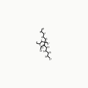 [CH2]C(CCC)(CCCCC)C(CC)CCCCC